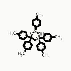 Cc1ccc([SiH]2OC(c3ccc(C)cc3)(c3ccc(C)cc3)C[Si](c3ccc(C)cc3)(c3ccc(C)cc3)[SiH2]2)cc1